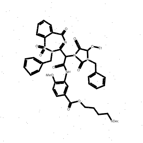 CCCCCCCCCCCCCCOC(=O)c1ccc(OC)c(NC(=O)C(C2=NC(=O)c3ccccc3S(=O)(=O)N2Cc2ccccc2)N2C(=O)C(OCC)N(Cc3ccccc3)C2=O)c1